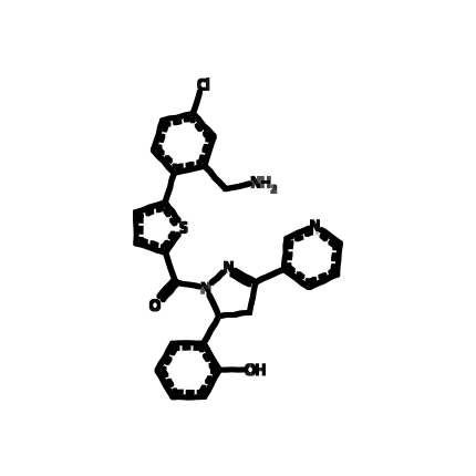 NCc1cc(Cl)ccc1-c1ccc(C(=O)N2N=C(c3cccnc3)CC2c2ccccc2O)s1